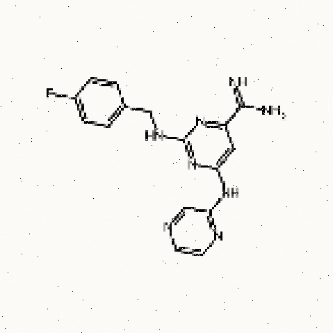 N=C(N)c1cc(Nc2cnccn2)nc(NCc2ccc(F)cc2)n1